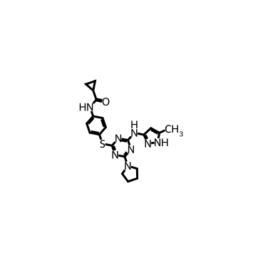 Cc1cc(Nc2nc(Sc3ccc(NC(=O)C4CC4)cc3)nc(N3CCCC3)n2)n[nH]1